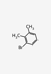 Cc1c[c][c]c(Br)c1C